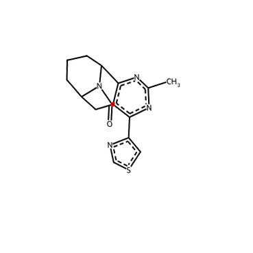 Cc1nc(-c2cscn2)c2c(n1)C1CCCC(C2)N1C=O